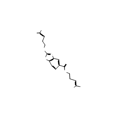 O=C(OCCC=C(F)F)c1ccc2oc(SCCC=C(F)F)nc2c1